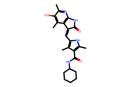 Cc1nc2c(c(C)c1O)/C(=C/c1[nH]c(C)c(C(=O)NC3CCCCC3)c1C)C(=O)N2